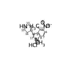 Cc1c([N+](=O)[O-])ccc2c1c(C1=CCNCC1)cn2C.Cl